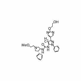 COCCN1C[C@@H](NC(=O)Nc2c(C)c(-c3cnc(OCCO)nc3)nn2-c2ccccc2)[C@H](c2ccccc2)C1